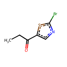 CCC(=O)c1cnc(Br)s1